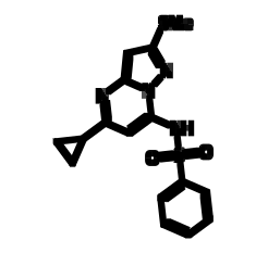 CSc1cc2nc(C3CC3)cc(NS(=O)(=O)c3ccccc3)n2n1